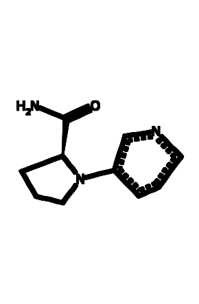 NC(=O)[C@@H]1CCCN1c1cccnc1